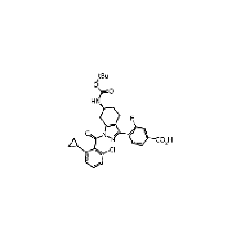 CC(C)(C)OC(=O)N[C@H]1CCc2c(-c3ccc(C(=O)O)cc3F)nn(C(=O)c3c(Cl)cccc3C3CC3)c2C1